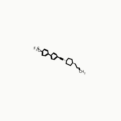 C=CCC[C@H]1CC[C@H](C#Cc2ccc(-c3ccc(OC(F)(F)F)cc3)cc2)CC1